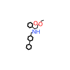 CCOC(=O)CC(NCc1ccc(-c2ccccc2)cc1)c1ccccc1